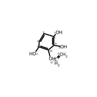 C=C.Oc1ccc(O)c(O)c1O